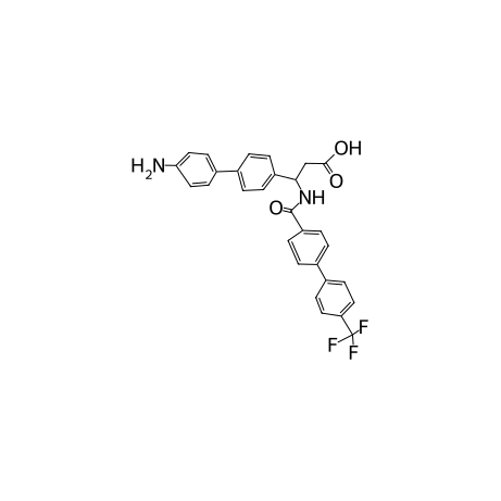 Nc1ccc(-c2ccc(C(CC(=O)O)NC(=O)c3ccc(-c4ccc(C(F)(F)F)cc4)cc3)cc2)cc1